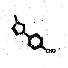 CN1C=CN(c2ccc(C=O)cc2)C1